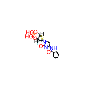 O=C(Nc1ccn([C@@H]2S[C@@H]3CO[P](O)(O)O[C@H]3[C@@H]2F)c(=O)n1)c1ccccc1